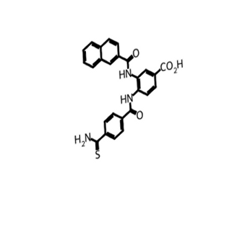 NC(=S)c1ccc(C(=O)Nc2ccc(C(=O)O)cc2NC(=O)c2ccc3ccccc3c2)cc1